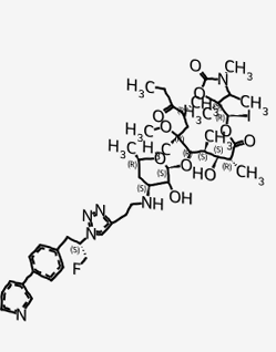 CCC(=O)[C@H](C)C[C@@](C)(OC)[C@H](O[C@@H]1O[C@H](C)C[C@H](NCCc2cn([C@H](CF)Cc3ccc(-c4cccnc4)cc3)nn2)C1O)[C@@H](C)[C@H](O)[C@@H](C)C(=O)O[C@H](I)[C@@]1(C)OC(=O)N(C)C1C